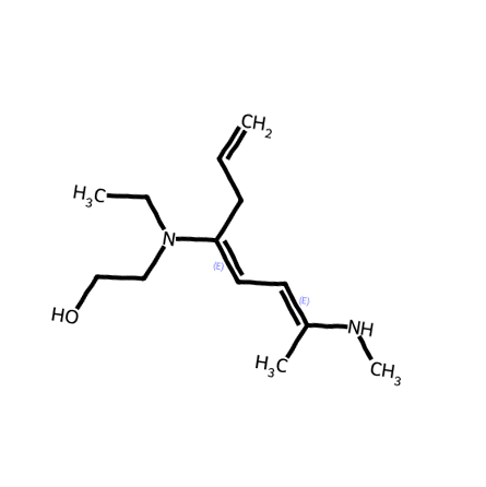 C=CC/C(=C\C=C(/C)NC)N(CC)CCO